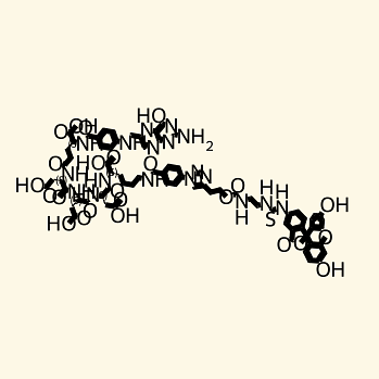 Nc1nc(O)c2nc(CNc3ccc(C(=O)N[C@@H](CCC(=O)N[C@@H](CC(=O)O)C(=O)N[C@@H](CC(=O)O)C(=O)N[C@@H](CC(=O)O)C(=O)N[C@@H](CCCCNC(=O)c4ccc(-n5cc(CCOC(=O)NCCNC(=S)Nc6ccc7c(c6)C(=O)OC76c7ccc(O)cc7Oc7cc(O)ccc76)nn5)cc4)C(=O)O)C(=O)O)cc3)cnc2n1